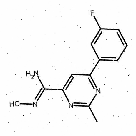 Cc1nc(C(N)=NO)cc(-c2cccc(F)c2)n1